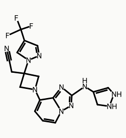 N#CCC1(n2cc(C(F)(F)F)cn2)CN(c2cccn3nc(NC4=CNNC4)nc23)C1